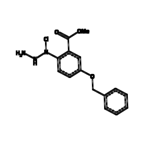 COC(=O)c1cc(OCc2ccccc2)ccc1N(Cl)NN